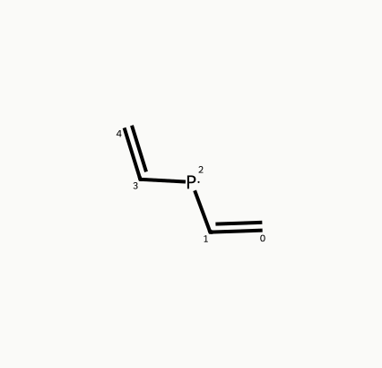 C=C[P]C=C